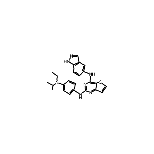 CCN(c1ccc(Nc2nc(Nc3ccc4[nH]ncc4c3)c3sccc3n2)cc1)C(C)C